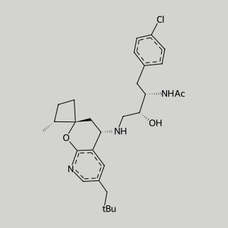 CC(=O)N[C@@H](Cc1ccc(Cl)cc1)[C@H](O)CN[C@H]1C[C@@]2(CC[C@H]2C)Oc2ncc(CC(C)(C)C)cc21